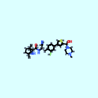 CN1CCN(C(O)c2cc(-c3ccc(C[C@@H](C#N)NC(=O)[C@H]4N[C@@H]5CC[C@H]4C5)c(F)c3)cs2)CC1